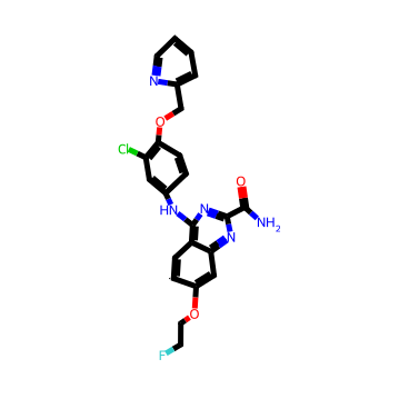 NC(=O)c1nc(Nc2ccc(OCc3ccccn3)c(Cl)c2)c2c[c]c(OCCF)cc2n1